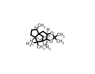 C[C@@H]1CC[C@H]2C(C)(C)[C@H]3CC12C[C@H]1OC(C)(C)O[C@@]31C